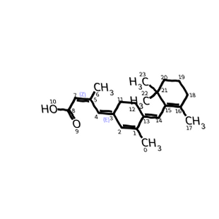 CC1=C/C(=C/C(C)=C\C(=O)O)CCC1=CC1=C(C)CCCC1(C)C